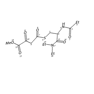 CCC(=O)NC(CSC(=O)CC(=O)C(=O)OC)C(=O)N(CC)CC